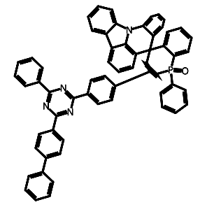 O=P1(c2ccccc2)c2ccccc2C2(c3ccccc3-n3c4ccccc4c4cccc2c43)c2cc(-c3ccc(-c4nc(-c5ccccc5)nc(-c5ccc(-c6ccccc6)cc5)n4)cc3)ccc21